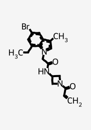 C=CC(=O)N1CC(NC(=O)Cn2cc(C)c3cc(Br)cc(CC)c32)C1